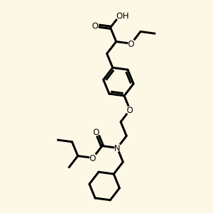 CCOC(Cc1ccc(OCCN(CC2CCCCC2)C(=O)OC(C)CC)cc1)C(=O)O